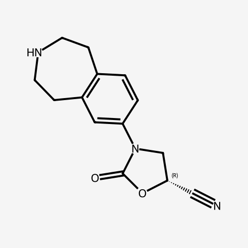 N#C[C@H]1CN(c2ccc3c(c2)CCNCC3)C(=O)O1